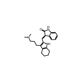 CN(C)CCCc1c(/C=C2/C(=O)Nc3ccccc32)[nH]c2c1CCCC2